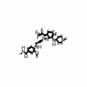 CNC(=O)c1ccc(NCC#Cn2nc3c(N[C@@H]4CCN(C)C[C@@H]4F)cccc3c2C(F)=C(F)F)c(OC)c1